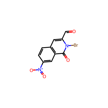 O=Cc1cc2ccc([N+](=O)[O-])cc2c(=O)n1Br